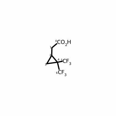 O=C(O)CC1CC1(C(F)(F)F)C(F)(F)F